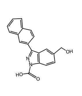 O=C(O)n1nc(-c2ccc3ccccc3c2)c2cc(CO)ccc21